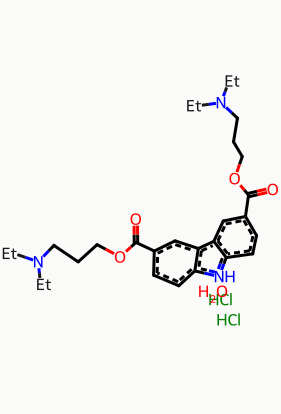 CCN(CC)CCCOC(=O)c1ccc2[nH]c3ccc(C(=O)OCCCN(CC)CC)cc3c2c1.Cl.Cl.O